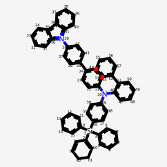 C1=CC([Si](c2ccccc2)(c2ccccc2)c2ccc(N(c3ccc(-c4ccc(-n5c6ccccc6c6ccccc65)cc4)cc3)c3ccccc3-c3ccccc3)cc2)=CCC1